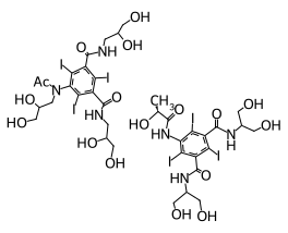 CC(=O)N(CC(O)CO)c1c(I)c(C(=O)NCC(O)CO)c(I)c(C(=O)NCC(O)CO)c1I.C[C@H](O)C(=O)Nc1c(I)c(C(=O)NC(CO)CO)c(I)c(C(=O)NC(CO)CO)c1I